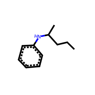 CCCC(C)Nc1cc[c]cc1